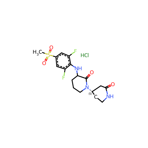 CS(=O)(=O)c1cc(F)c(NC2CCCN([C@H]3CCNC(=O)C3)C2=O)c(F)c1.Cl